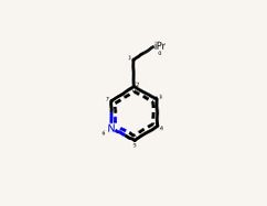 CC(C)Cc1[c]ccnc1